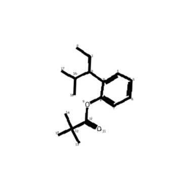 CCC(c1ccccc1OC(=O)C(C)(C)C)C(C)C